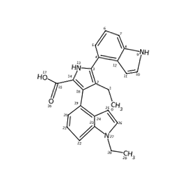 CCc1c(-c2cccc3[nH]ccc23)[nH]c(C(=O)O)c1-c1cccc2c1ccn2CC